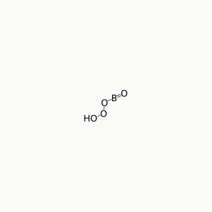 O=BOOO